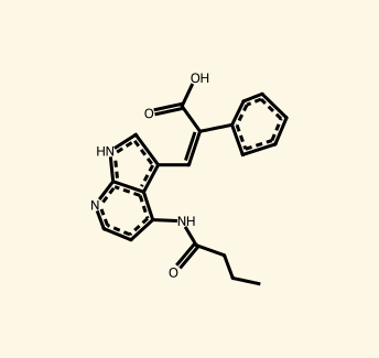 CCCC(=O)Nc1ccnc2[nH]cc(C=C(C(=O)O)c3ccccc3)c12